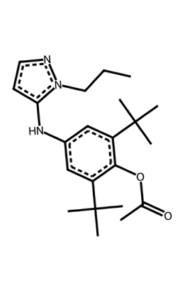 CCCn1nccc1Nc1cc(C(C)(C)C)c(OC(C)=O)c(C(C)(C)C)c1